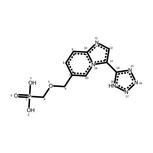 O=P(O)(O)COCc1ccc2ncc(-c3nnn[nH]3)n2c1